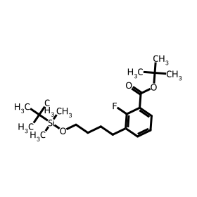 CC(C)(C)OC(=O)c1cccc(CCCCO[Si](C)(C)C(C)(C)C)c1F